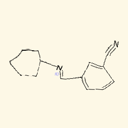 N#Cc1cccc(/C=N/C2CCCCC2)c1